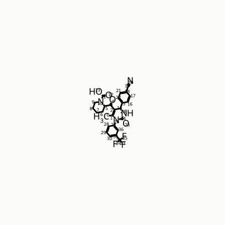 CC1=C(C(=O)C2CCCCN2C(=O)O)C(c2ccc(C#N)cc2)NC(=O)N1c1cccc(C(F)(F)F)c1